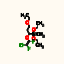 CCOCCC(OC(F)=C(F)Cl)[Si](C)(OCC)OCC